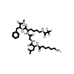 CNC(=O)C(Cc1ccccc1)NC(=O)C(CCCCNC(=O)C(F)(F)F)NC(=O)CNC(=O)C(CC(C)C)NC(=O)CCCCCN